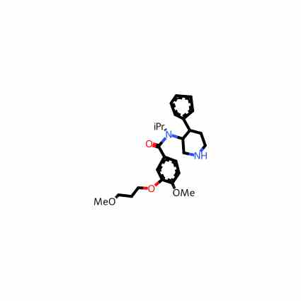 COCCCOc1cc(C(=O)N(C(C)C)C2CNCCC2c2ccccc2)ccc1OC